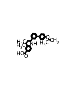 CC(C)Oc1ccc(-c2cccc(C3CC(C)(C)c4cc(C(=O)O)ccc4N3)c2)cc1